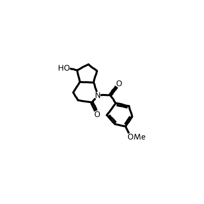 COc1ccc(C(=O)N2C(=O)CCC3C(O)CCC32)cc1